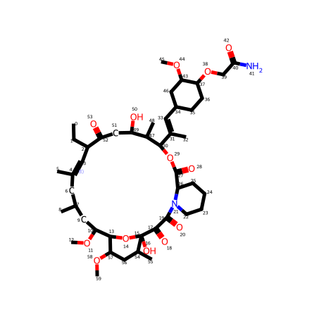 CCC1/C=C(\C)CC(C)CC(OC)C2OC(O)(C(=O)C(=O)N3CCCCC3C(=O)OC(C(C)=CC3CCC(OCC(N)=O)C(OC)C3)C(C)C(O)CC1=O)C(C)CC2OC